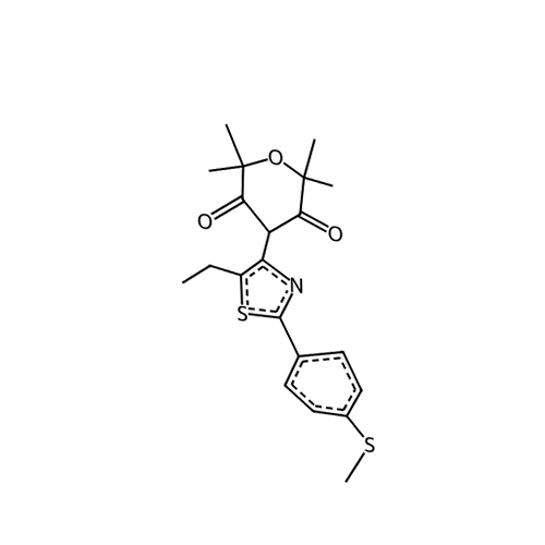 CCc1sc(-c2ccc(SC)cc2)nc1C1C(=O)C(C)(C)OC(C)(C)C1=O